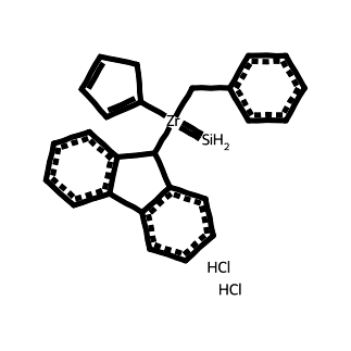 Cl.Cl.[SiH2]=[Zr]([CH2]c1ccccc1)([C]1=CC=CC1)[CH]1c2ccccc2-c2ccccc21